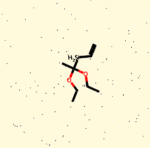 C=C[SiH2]C(C)(OCC)OCC